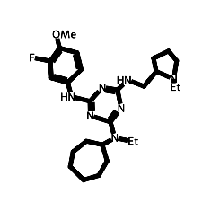 CCN1CCCC1CNc1nc(Nc2ccc(OC)c(F)c2)nc(N(CC)C2CCCCCC2)n1